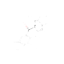 O=C(c1cc(C(F)(F)F)c(C(=O)O)c(C(=O)O)c1C(F)(F)F)c1cc(C(F)(F)F)c(C(=O)O)c(C(=O)O)c1C(F)(F)F